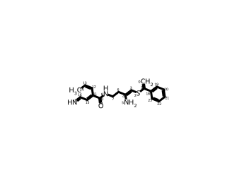 C=C(S/C=C(\N)CCNC(=O)C(/C=C\C)=C/C=N)c1ccccc1